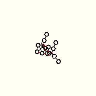 C1=C(c2ccccc2)CCC(N(c2ccc(-c3ccccc3)cc2)c2cccc3c2-c2ccccc2C32c3ccccc3C3(c4ccccc4-c4cccc(N(c5ccc(-c6ccccc6)cc5)c5ccc(-c6ccccc6)cc5)c43)c3ccccc32)=C1